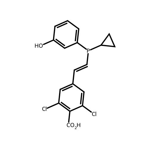 O=C(O)c1c(Cl)cc(/C=C/P(c2cccc(O)c2)C2CC2)cc1Cl